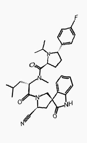 CC(C)C[C@@H](C(=O)N1C[C@]2(C[C@H]1C#N)C(=O)Nc1ccccc12)N(C)C(=O)[C@@H]1CC[C@@H](c2ccc(F)cc2)N1C(C)C